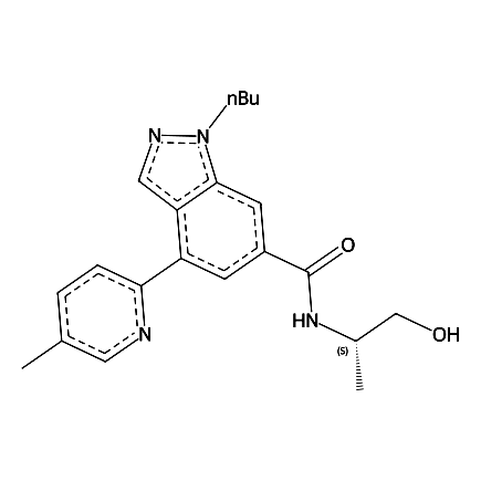 CCCCn1ncc2c(-c3ccc(C)cn3)cc(C(=O)N[C@@H](C)CO)cc21